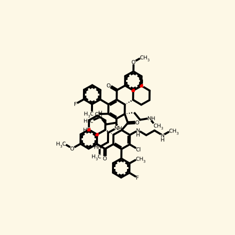 CNCCNC1=C(Cl)C(c2cccc(F)c2C)=C(C(=O)c2cccc(OC)c2)[C@H](C2CCCNC2)[C@@]1(CCNC)C(=O)[C@@]1(CCNC)C(NCCNC)=C(Cl)C(c2cccc(F)c2C)=C(C(=O)c2cccc(OC)c2)[C@@H]1C1CCCNC1